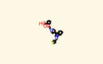 O=C(O)c1ccccc1OCCN1CCC(c2cn(Cc3ccsc3)c3ccccc23)CC1